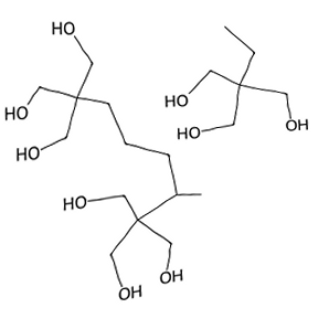 CC(CCCC(CO)(CO)CO)C(CO)(CO)CO.CCC(CO)(CO)CO